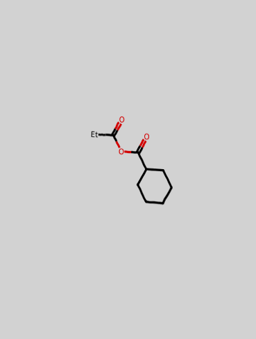 CCC(=O)OC(=O)C1CCCCC1